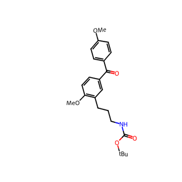 COc1ccc(C(=O)c2ccc(OC)c(CCCNC(=O)OC(C)(C)C)c2)cc1